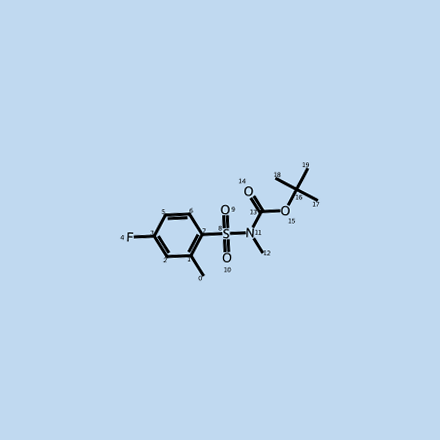 Cc1cc(F)ccc1S(=O)(=O)N(C)C(=O)OC(C)(C)C